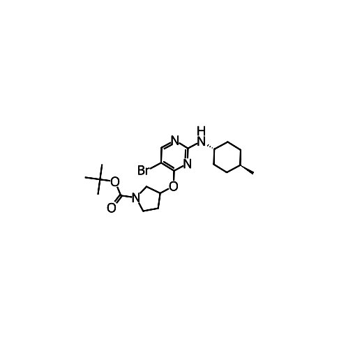 CC(C)(C)OC(=O)N1CCC(Oc2nc(N[C@H]3CC[C@H](C)CC3)ncc2Br)C1